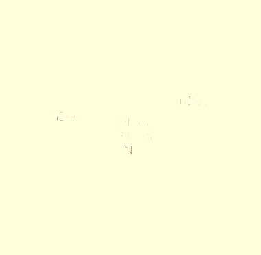 CCCCCCCCCCCCCCCC(=O)OC(CO[C@H](O)CCCCCCCCCCCCCCC)CN(C)C